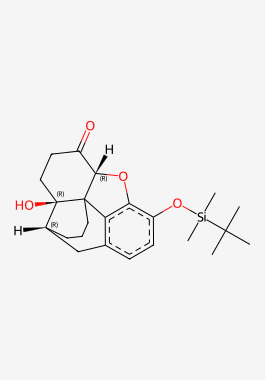 CC(C)(C)[Si](C)(C)Oc1ccc2c3c1O[C@H]1C(=O)CC[C@@]4(O)[C@H](CCCC314)C2